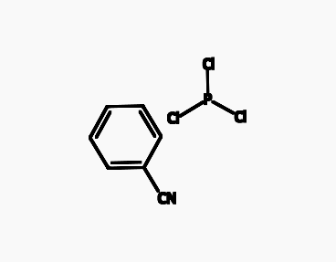 ClP(Cl)Cl.N#Cc1ccccc1